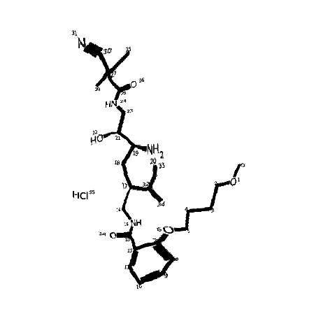 COCCCCOc1ccccc1C(=O)NC[C@@H](C[C@H](N)[C@@H](O)CNC(=O)C(C)(C)C#N)C(C)C.Cl